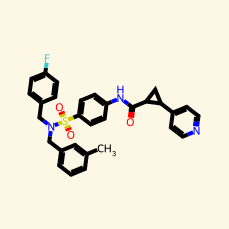 Cc1cccc(CN(Cc2ccc(F)cc2)S(=O)(=O)c2ccc(NC(=O)C3CC3c3ccncc3)cc2)c1